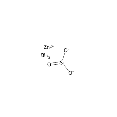 B.O=[Si]([O-])[O-].[Zn+2]